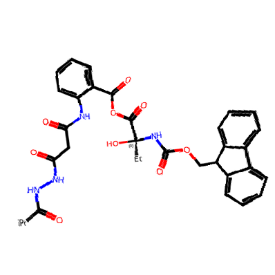 CC[C@](O)(NC(=O)OCC1c2ccccc2-c2ccccc21)C(=O)OC(=O)c1ccccc1NC(=O)CC(=O)NNC(=O)C(C)C